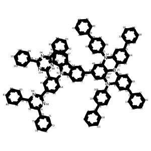 c1ccc(-c2ccc(N3c4cc(-c5ccccc5)ccc4B4c5ccc(-c6ccccc6)cc5N(c5ccc(-c6ccccc6)cc5)c5cc(-c6ccc7c(c6)c6ccccc6n7-c6ccc(-c7nc(-c8ccccc8)cc(-c8ccccc8)n7)cc6-c6nc(-c7ccccc7)nc(-c7ccccc7)n6)cc3c54)cc2)cc1